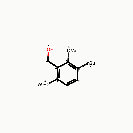 CCCCc1ccc(OC)c(CO)c1OC